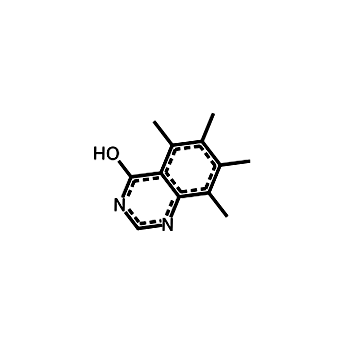 Cc1c(C)c(C)c2c(O)ncnc2c1C